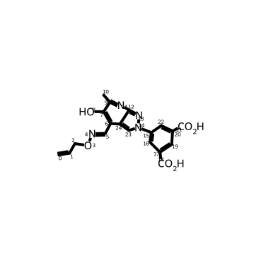 C=CCO/N=C/c1c(O)c(C)nc2nn(-c3cc(C(=O)O)cc(C(=O)O)c3)cc12